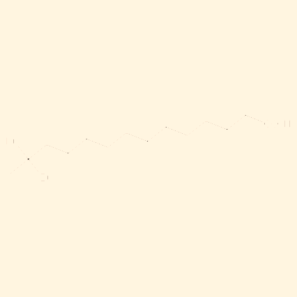 CCC(C)(CC)CCCCCCCCCCCC(=O)O